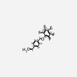 C=Cc1ccc(COc2c(F)c(F)c(F)c(F)c2F)cc1